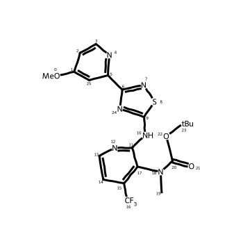 COc1ccnc(-c2nsc(Nc3nccc(C(F)(F)F)c3N(C)C(=O)OC(C)(C)C)n2)c1